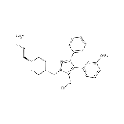 CCSc1c(-c2cccc(OC)c2)c(-c2ccccc2)nn1C[C@H]1CC[C@H](COCC(=O)O)CC1